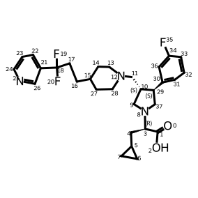 O=C(O)[C@@H](CC1CC1)N1C[C@H](CN2CCC(CCC(F)(F)c3cccnc3)CC2)[C@@H](c2cccc(F)c2)C1